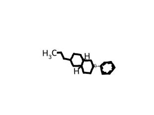 CCCC1CC[C@@H]2C[C@H](c3ccccc3)CC[C@@H]2C1